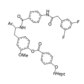 CCCCCCCOc1ccc(C(=O)Oc2ccc(CC(NC(=O)c3ccc(NC(=O)Cc4cc(F)cc(F)c4)cc3)C(C)=O)cc2OC)cc1